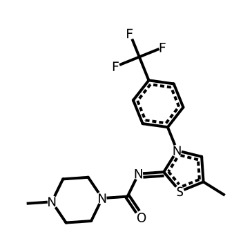 Cc1cn(-c2ccc(C(F)(F)F)cc2)c(=NC(=O)N2CCN(C)CC2)s1